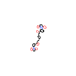 O=C(/C=C/c1ccc(/C=C/C(=O)c2cccc(N3C(=O)C=CC3=O)c2)cc1)c1cccc(N2C(=O)C=CC2=O)c1